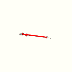 CCCCCCCCCCCCCCCCCCCCCCCCCCCCCCCCCCCCCCCCCCCCCCCCOC(=O)CCCCCCCCC(=O)O